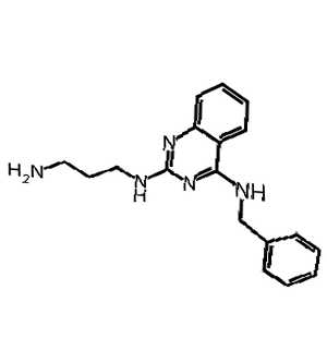 NCCCNc1nc(NCc2ccccc2)c2ccccc2n1